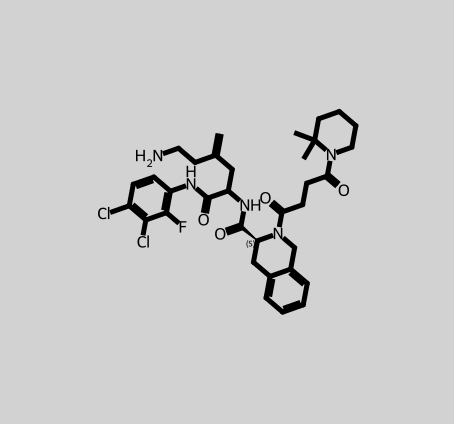 C=C(CCN)CC(NC(=O)[C@@H]1Cc2ccccc2CN1C(=O)CCC(=O)N1CCCCC1(C)C)C(=O)Nc1ccc(Cl)c(Cl)c1F